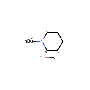 CCCCN1CCCCC1.CI